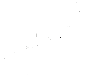 CC(F)(F)N1CCCCC1